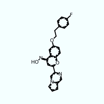 ON=c1cc(-c2cn3cccc3cn2)oc2ccc(OCCc3ccc(F)cc3)cc12